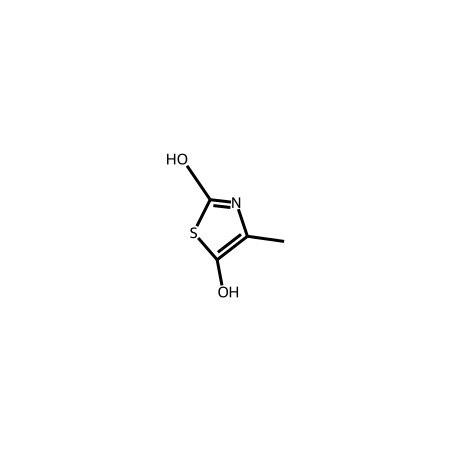 Cc1nc(O)sc1O